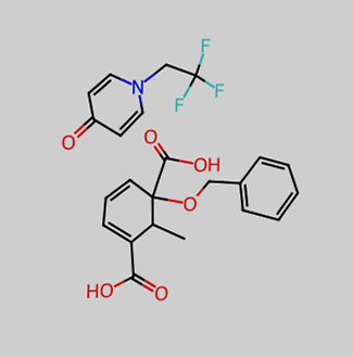 CC1C(C(=O)O)=CC=CC1(OCc1ccccc1)C(=O)O.O=c1ccn(CC(F)(F)F)cc1